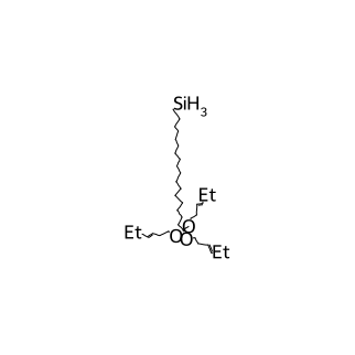 CCC=CCCOC(CCCCCCCCCCCCCCCCC[SiH3])(OCCC=CCC)OCCC=CCC